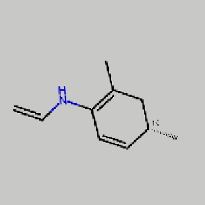 C=CNC1=C(C)C[C@H](C)C=C1